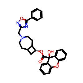 O=C(O[C@H]1CC2CCN(Cc3noc(-c4ccccc4)n3)CCC21)C1(O)c2ccccc2Oc2ccccc21